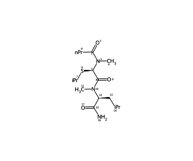 CCCC(=O)N(C)[C@H](SC(C)C)C(=O)N(C)[C@@H](CC(C)C)C(N)=O